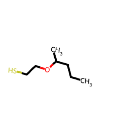 CCCC(C)OCCS